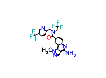 Cn1ncc2c(N)nc3ccc(C(=O)N(Cc4ccc(C(F)(F)F)cn4)CC(F)(F)F)cc3c21